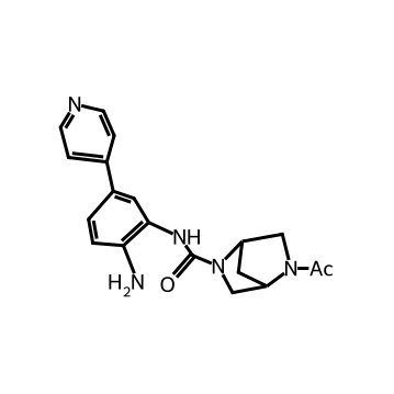 CC(=O)N1CC2CC1CN2C(=O)Nc1cc(-c2ccncc2)ccc1N